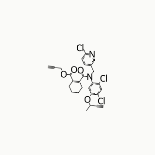 C#CCOC(=O)C1=C(C(=O)N(Cc2ccc(Cl)nc2)c2cc(OC(C)C#C)c(Cl)cc2Cl)CCCC1